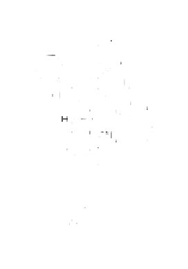 CCCCCCCCC1C(C2(C)CCCCC2)CC2C(C3(C)CCCCC3)CC(C3(C)CCCCC3)CC2C1(C)C1(C)CCCCC1